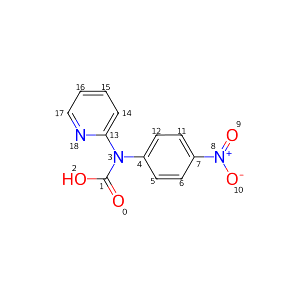 O=C(O)N(c1ccc([N+](=O)[O-])cc1)c1ccccn1